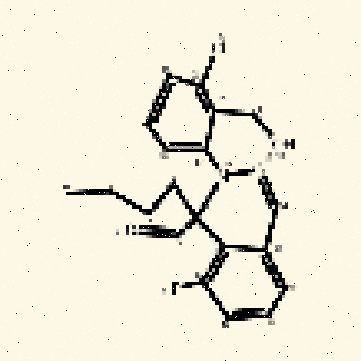 CCCCC1(C=O)c2c(F)cccc2C=NN1c1cccc(Cl)c1CO